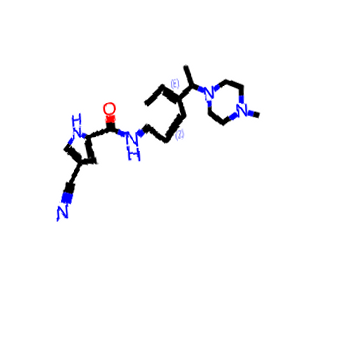 C/C=C(\C=C/CNC(=O)c1cc(C#N)c[nH]1)C(C)N1CCN(C)CC1